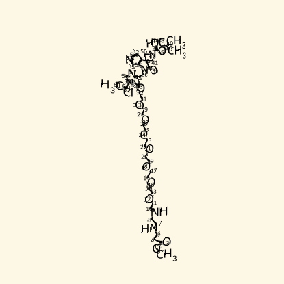 COC(=O)CCNCCNCCOCCOCCOCCOCCOCCOCCOCCON1C(CN2C(=O)C3(CN(C(=O)OC(C)(C)C)C3)c3ccncc32)=NC[C@@H]1C(C)Cl